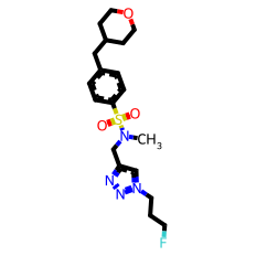 CN(Cc1cn(CCCF)nn1)S(=O)(=O)c1ccc(CC2CCOCC2)cc1